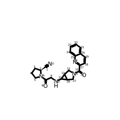 N#C[C@@H]1CCCN1C(=O)CNC1C2CN(C(=O)c3ccc4ccccc4n3)CC21